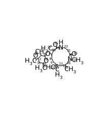 CO[C@]1(C)C[C@H](O[C@H]2CC[C@](C)(O)C[C@@H](C)CN(C)C(=O)CCNC(=O)[C@@H]2C)O[C@@H](C)C1